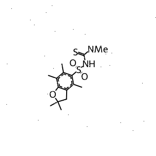 CNC(=S)NS(=O)(=O)c1c(C)c(C)c2c(c1C)CC(C)(C)O2